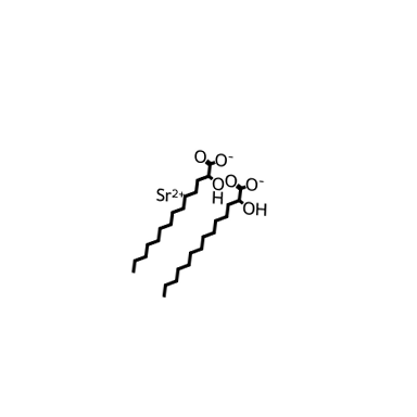 CCCCCCCCCCCCC(O)C(=O)[O-].CCCCCCCCCCCCC(O)C(=O)[O-].[Sr+2]